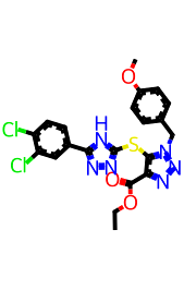 CCOC(=O)c1nnn(Cc2ccc(OC)cc2)c1Sc1nnc(-c2ccc(Cl)c(Cl)c2)[nH]1